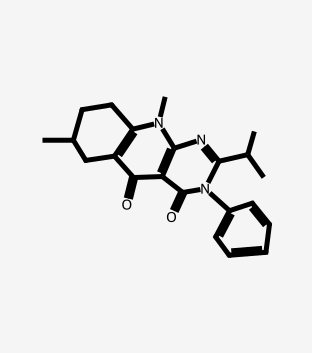 CC1CCc2c(c(=O)c3c(=O)n(-c4ccccc4)c(C(C)C)nc3n2C)C1